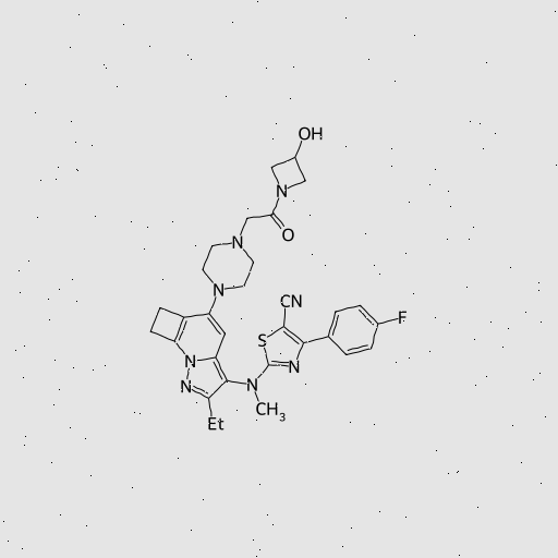 CCc1nn2c3c(c(N4CCN(CC(=O)N5CC(O)C5)CC4)cc2c1N(C)c1nc(-c2ccc(F)cc2)c(C#N)s1)CC3